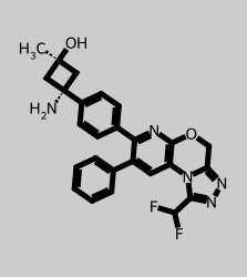 C[C@]1(O)C[C@@](N)(c2ccc(-c3nc4c(cc3-c3ccccc3)-n3c(nnc3C(F)F)CO4)cc2)C1